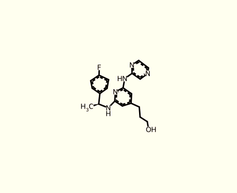 C[C@H](Nc1cc(CCCO)cc(Nc2cnccn2)n1)c1ccc(F)cc1